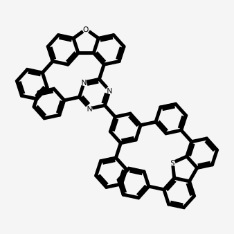 c1ccc(-c2cc(-c3cccc(-c4cccc5c4sc4c(-c6ccccc6)cccc45)c3)cc(-c3nc(-c4ccccc4)nc(-c4cccc5oc6ccc(-c7ccccc7)cc6c45)n3)c2)cc1